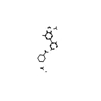 Cc1cnc(NC(=O)C2CCC[C@@H](NC(=O)N(C)C)C2)cc1-c1cc(F)c2ncn(C(C)C(F)(F)F)c2c1